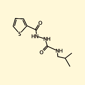 CC(C)CNC(=O)NNC(=O)c1cccs1